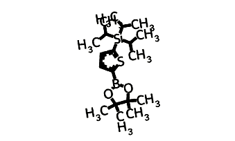 CC(C)[Si](c1ccc(B2OC(C)(C)C(C)(C)O2)s1)(C(C)C)C(C)C